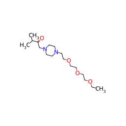 CCOCCOCCOCCN1CCN(CC(=O)C(C)C)CC1